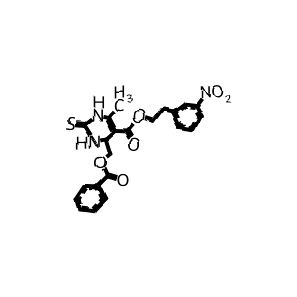 CC1=C(C(=O)OCCc2cccc([N+](=O)[O-])c2)C(COC(=O)c2ccccc2)NC(=S)N1